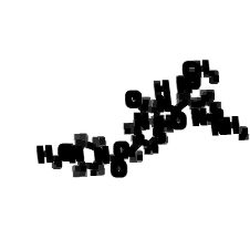 CON=C(C(=O)NC1C(=O)N2C=C(COC(=O)N3CCN(C)CC3)CS[C@@H]12)c1csc(N)n1